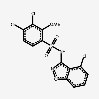 COc1c(S(=O)(=O)Nc2noc3cccc(Cl)c23)ccc(Cl)c1Cl